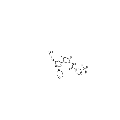 Cc1cc(F)c(NC(=O)N2CCOC(C(F)(F)F)C2)cc1-c1cc(OCCO)nc(N2CCOCC2)c1